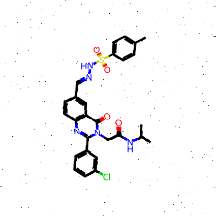 Cc1ccc(S(=O)(=O)NN=Cc2ccc3nc(-c4cccc(Cl)c4)n(CC(=O)NC(C)C)c(=O)c3c2)cc1